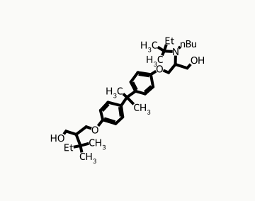 CCCCN(C(CO)COc1ccc(C(C)(C)c2ccc(OCC(CO)C(C)(C)CC)cc2)cc1)C(C)(C)CC